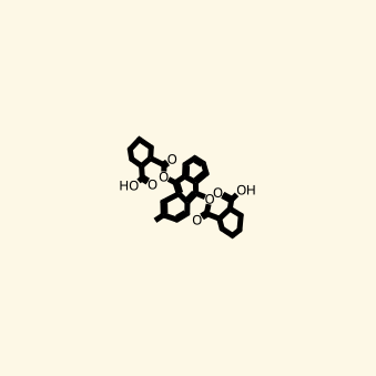 Cc1ccc2c(OC(=O)C3CCCCC3C(=O)O)c3ccccc3c(OC(=O)C3CCCCC3C(=O)O)c2c1